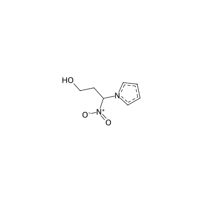 O=[N+]([O-])C(CCO)n1cccc1